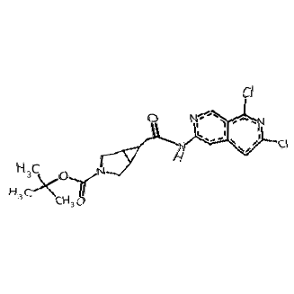 CC(C)(C)OC(=O)N1CC2C(C1)C2C(=O)Nc1cc2cc(Cl)nc(Cl)c2cn1